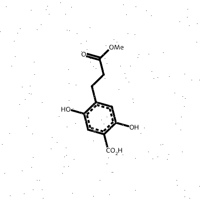 COC(=O)CCc1cc(O)c(C(=O)O)cc1O